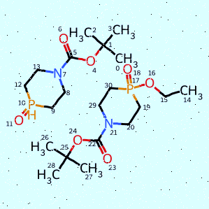 CC(C)(C)OC(=O)N1CC[PH](=O)CC1.CCOP1(=O)CCN(C(=O)OC(C)(C)C)CC1